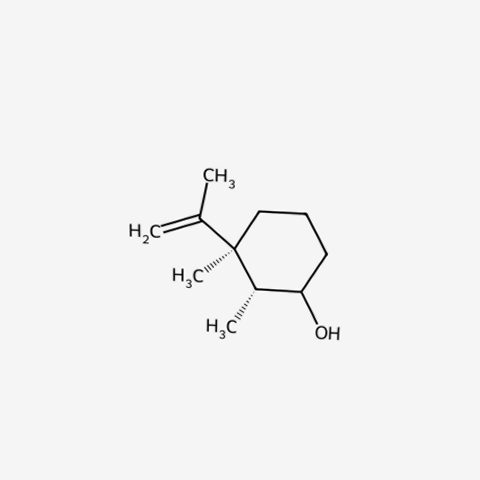 C=C(C)[C@@]1(C)CCCC(O)[C@@H]1C